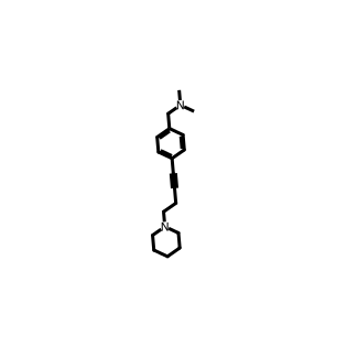 CN(C)Cc1ccc(C#CCCN2CCCCC2)cc1